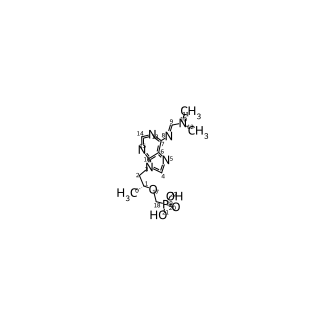 C[C@H](Cn1cnc2c(N=CN(C)C)ncnc21)OCP(=O)(O)O